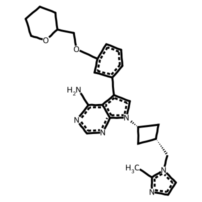 Cc1nccn1C[C@H]1C[C@@H](n2cc(-c3cccc(OCC4CCCCO4)c3)c3c(N)ncnc32)C1